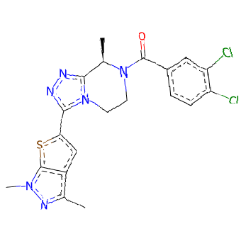 Cc1nn(C)c2sc(-c3nnc4n3CCN(C(=O)c3ccc(Cl)c(Cl)c3)[C@@H]4C)cc12